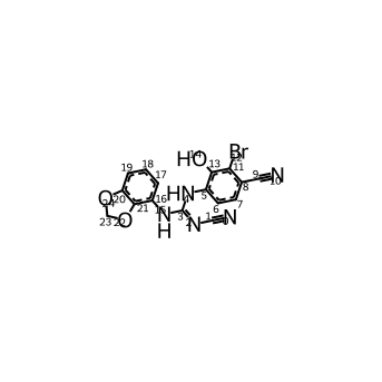 N#C/N=C(\Nc1ccc(C#N)c(Br)c1O)Nc1cccc2c1OCO2